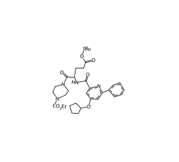 CCOC(=O)N1CCN(C(=O)C(CCC(=O)OC(C)(C)C)NC(=O)c2cc(OC3CCCC3)cc(-c3ccccc3)n2)CC1